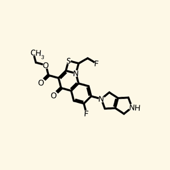 CCOC(=O)c1c2n(c3cc(N4CC5=C(CNC5)C4)c(F)cc3c1=O)C(CF)S2